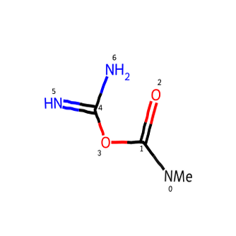 CNC(=O)OC(=N)N